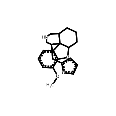 COc1cccc2c1OC1CCCC3CNCC(Cc4ccco4)C231